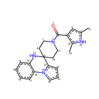 Cc1cc(C(=O)N2CCC3(CC2)Nc2ccccc2-n2cccc23)c(C)[nH]1